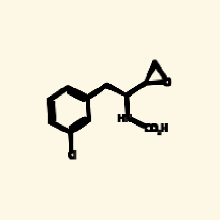 O=C(O)N[C@@H](Cc1cccc(Cl)c1)[C@H]1CO1